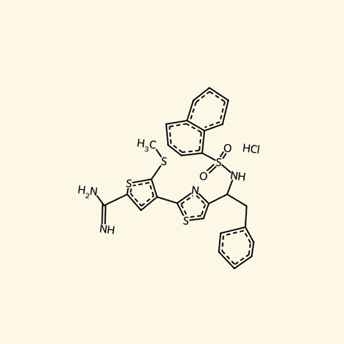 CSc1sc(C(=N)N)cc1-c1nc(C(Cc2ccccc2)NS(=O)(=O)c2cccc3ccccc23)cs1.Cl